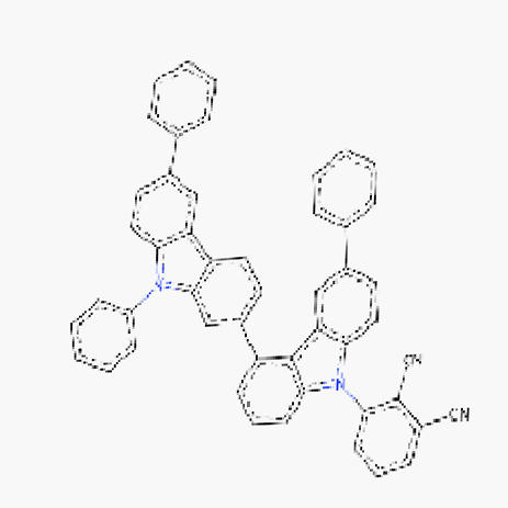 N#Cc1cccc(-n2c3ccc(-c4ccccc4)cc3c3c(-c4ccc5c6cc(-c7ccccc7)ccc6n(-c6ccccc6)c5c4)cccc32)c1C#N